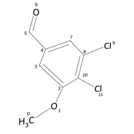 COc1cc(C=O)cc(Cl)c1Cl